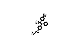 CCC(=C(c1cc[c]cc1)c1ccc(OCCN(C)C)cc1)c1ccc(Br)cc1